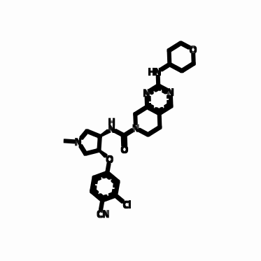 CN1C[C@H](Oc2ccc(C#N)c(Cl)c2)[C@H](NC(=O)N2CCc3cnc(NC4CCOCC4)nc3C2)C1